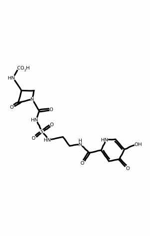 O=C(O)NC1CN(C(=O)NS(=O)(=O)NCCNC(=O)c2cc(=O)c(O)c[nH]2)C1=O